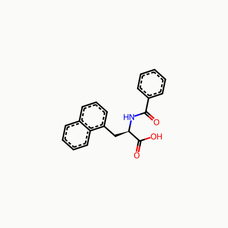 O=C(N[C@H](Cc1cccc2ccccc12)C(=O)O)c1ccccc1